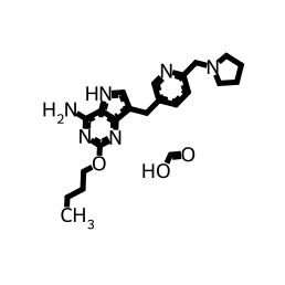 CCCCOc1nc(N)c2[nH]cc(Cc3ccc(CN4CCCC4)nc3)c2n1.O=CO